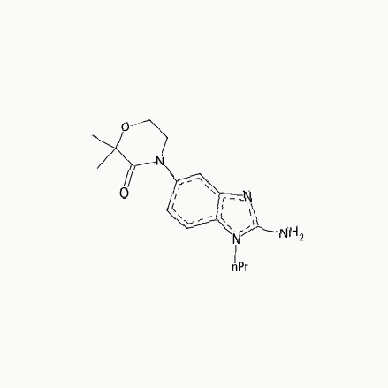 CCCn1c(N)nc2cc(N3CCOC(C)(C)C3=O)ccc21